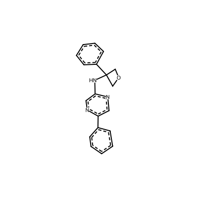 c1ccc(-c2cnc(NC3(c4ccccc4)COC3)cn2)cc1